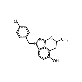 CC1Cc2c(O)ccc3c2c(cn3Cc2ccc(Cl)cc2)S1